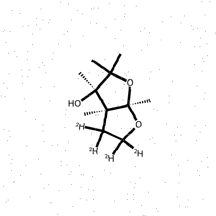 [2H]C1([2H])O[C@]2(C)OC(C)(C)[C@](C)(O)[C@]2(C)C1([2H])[2H]